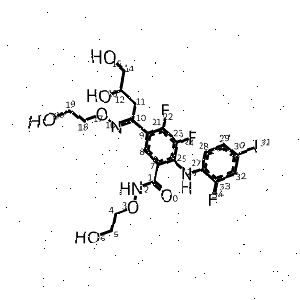 O=C(NOCCO)c1cc(C(CC(O)CO)=NOCCO)c(F)c(F)c1Nc1ccc(I)cc1F